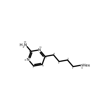 CCCCCCCCCCc1ccnc(N)n1